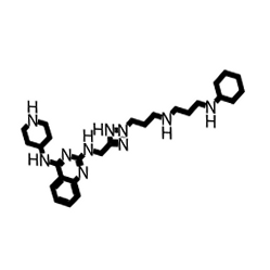 c1ccc2c(NC3CCNCC3)nc(NCc3nn(CCCNCCCNC4CCCCC4)[nH]3)nc2c1